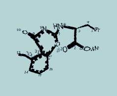 COC(=O)[C@H](CC(C)C)Nc1nc(=O)c2c(C)cccc2o1